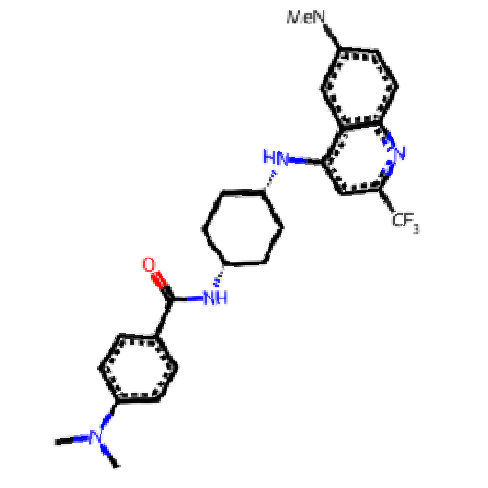 CNc1ccc2nc(C(F)(F)F)cc(N[C@H]3CC[C@@H](NC(=O)c4ccc(N(C)C)cc4)CC3)c2c1